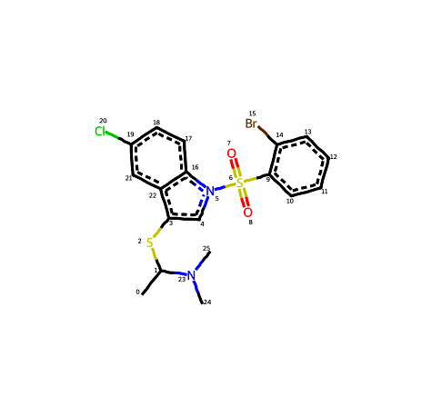 CC(Sc1cn(S(=O)(=O)c2ccccc2Br)c2ccc(Cl)cc12)N(C)C